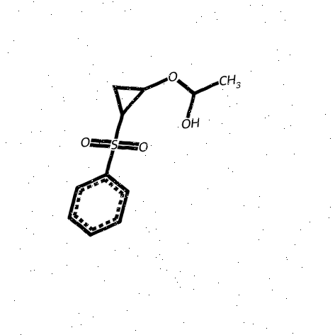 CC(O)OC1CC1S(=O)(=O)c1ccccc1